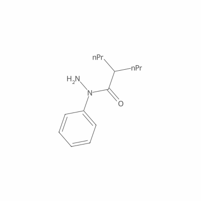 CCCC(CCC)C(=O)N(N)c1ccccc1